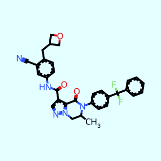 CC1Cn2ncc(C(=O)Nc3ccc(CC4COC4)c(C#N)c3)c2C(=O)N1c1ccc(C(F)(F)c2ccccc2)cc1